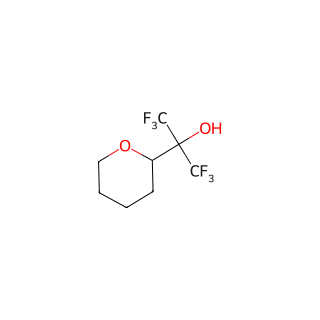 OC(C1CCCCO1)(C(F)(F)F)C(F)(F)F